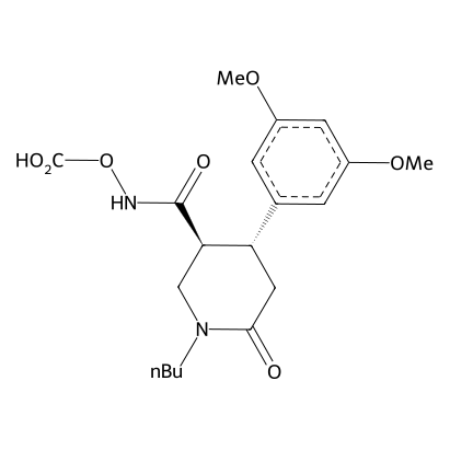 CCCCN1C[C@@H](C(=O)NOC(=O)O)[C@H](c2cc(OC)cc(OC)c2)CC1=O